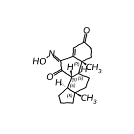 C[C@@]12CCC[C@H]1[C@@H]1C(=O)C(=NO)C3=CC(=O)CC[C@]3(C)[C@H]1CC2